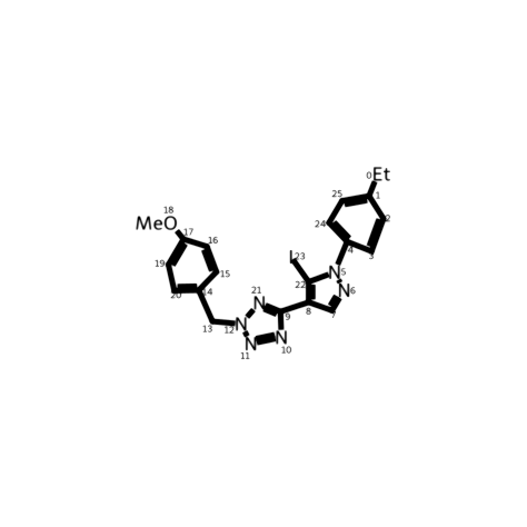 CCc1ccc(-n2ncc(-c3nnn(Cc4ccc(OC)cc4)n3)c2I)cc1